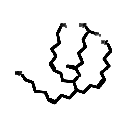 CCCCC/C=C\CCC(CC/C=C\CCCCC)C(CC/C=C\CCCCC)OC(=O)CCCCN(C)C